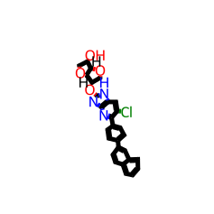 O[C@@H]1CO[C@H]2[C@@H]1OC[C@H]2Oc1nc2nc(-c3ccc(-c4ccc5ccccc5c4)cc3)c(Cl)cc2[nH]1